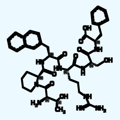 C[C@H](O)[C@@H](N)C(=O)N1CCCC[C@H]1C(=O)N[C@@H](Cc1ccc2ccccc2c1)C(=O)N[C@@H](CCCNC(=N)N)C(=O)N[C@@H](CO)C(=O)N[C@H](Cc1ccccc1)C(=O)O